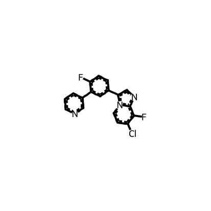 Fc1ccc(-c2cnc3c(F)c(Cl)ccn23)cc1-c1cccnc1